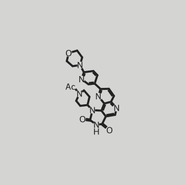 CC(=O)N1CCC(n2c(=O)[nH]c(=O)c3cnc4ccc(-c5ccc(N6CCOCC6)nc5)nc4c32)CC1